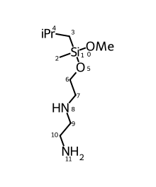 CO[Si](C)(CC(C)C)OCCNCCN